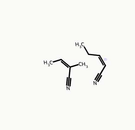 CC/C=C\C#N.CC=C(C)C#N